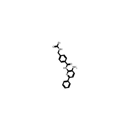 CCC(=O)NCc1ccc(C(=O)Nc2nc(-c3ccccc3)ccc2N)cc1